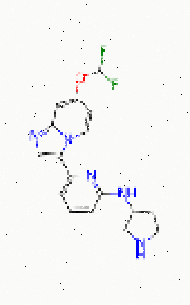 FC(F)Oc1ccn2c(-c3cccc(NC4CCNC4)n3)cnc2c1